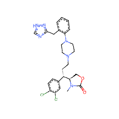 CN1C(=O)OC[C@@H]1[C@@H](CCN1CCN(c2ccccc2Cc2nc[nH]n2)CC1)c1ccc(Cl)c(Cl)c1